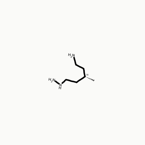 C[C@@H](CCN)CCNN